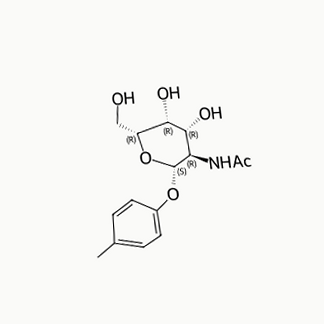 CC(=O)N[C@H]1[C@H](Oc2ccc(C)cc2)O[C@H](CO)[C@H](O)[C@@H]1O